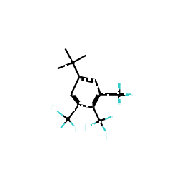 CC(C)(C)c1cc(C(F)(F)F)c(C(F)(F)F)c(C(F)(F)F)c1